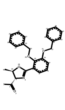 COC(=O)[C@H]1N=C(c2cccc(OCc3ccccc3)c2OCc2ccccc2)O[C@@H]1C